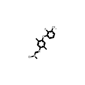 CCN(C)/C=N/c1cc(C)c(Oc2cccc(C(F)(F)F)c2F)cc1C